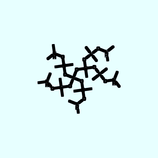 C[SiH](C)O[Si](C)(C)O[Si](C)(O[Si](C)(C)O[SiH](C)C)O[Si](O[Si](C)(C)O[SiH](C)C)(O[Si](C)(C)O[SiH](C)C)O[Si](C)(C)O[SiH](C)C